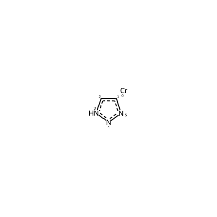 [Cr].c1c[nH]nn1